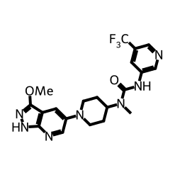 COc1n[nH]c2ncc(N3CCC(N(C)C(=O)Nc4cncc(C(F)(F)F)c4)CC3)cc12